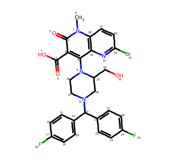 Cn1c(=O)c(C(=O)O)c(N2CCN(C(c3ccc(F)cc3)c3ccc(F)cc3)CC2CO)c2nc(Br)ccc21